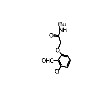 CCC(C)NC(=O)COc1cccc(Cl)c1C=O